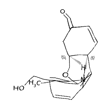 CN1CC[C@@]23C=CC(=O)C[C@@H]2Oc2c(CO)ccc(c23)C1